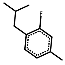 Cc1ccc(CC(C)C)c(F)c1